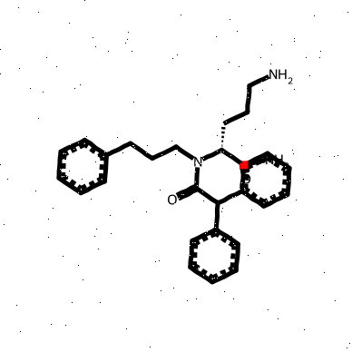 NCCC[C@H](C(N)=O)N(CCCc1ccccc1)C(=O)C(c1ccccc1)c1ccccc1